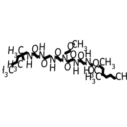 CCCCC(C)CC(C)(C)OC(=O)NCC(=O)NCC(=O)N(CC(=O)NCC(=O)NCC(=O)NCC(C)(CC)CCCC)CC(=O)OC